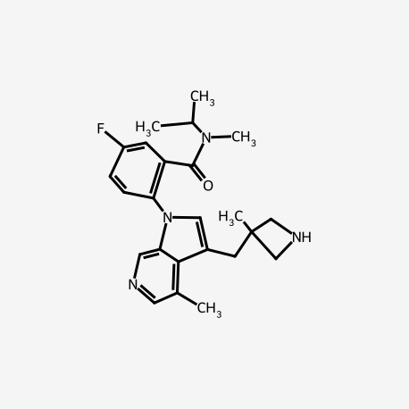 Cc1cncc2c1c(CC1(C)CNC1)cn2-c1ccc(F)cc1C(=O)N(C)C(C)C